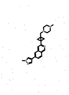 CN1CCN(CC23CC2(c2cc4cc(-c5cnn(C)c5)ccc4cn2)C3)CC1